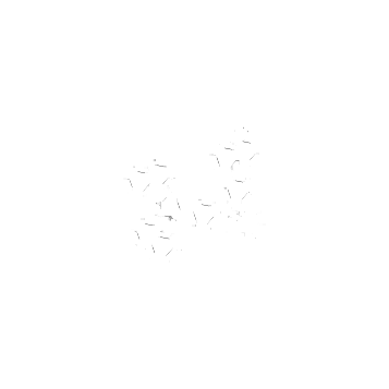 N#Cc1cccc2c(-c3ccc(C45CC6CC(CC(c7ccc(-c8cc(-c9cccc%10ccccc9%10)nc(-c9cccc%10ccccc9%10)n8)cc7)(C6)C4)C5)cc3)cccc12